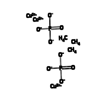 C.C.C.O=P([O-])([O-])[O-].O=P([O-])([O-])[O-].[Cu+2].[Cu+2].[Cu+2]